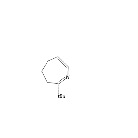 CC(C)(C)C1=NC=CCCC1